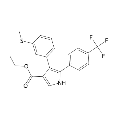 CCOC(=O)c1c[nH]c(-c2ccc(C(F)(F)F)cc2)c1-c1cccc(SC)c1